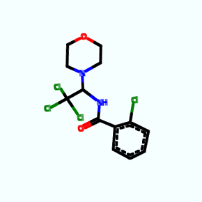 O=C(NC(N1CCOCC1)C(Cl)(Cl)Cl)c1ccccc1Cl